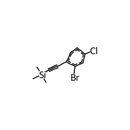 C[Si](C)(C)C#Cc1ccc(Cl)cc1Br